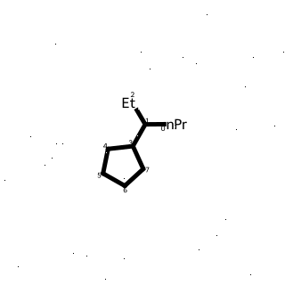 [CH2]CCC(CC)C1CCCC1